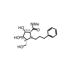 CNC(=O)[C@@H]1[C@H](O)[C@H](O)[C@@H](CO)N1CCCc1ccccc1